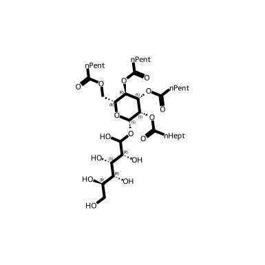 CCCCCCCC(=O)O[C@@H]1[C@H](OC(O)[C@H](O)[C@@H](O)[C@H](O)[C@H](O)CO)O[C@H](COC(=O)CCCCC)[C@@H](OC(=O)CCCCC)[C@@H]1OC(=O)CCCCC